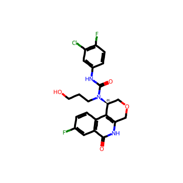 O=C(Nc1ccc(F)c(Cl)c1)N(CCCO)[C@H]1COCc2[nH]c(=O)c3cc(F)ccc3c21